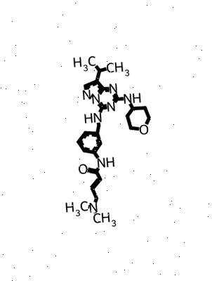 CC(C)c1cnn2c(NCc3cccc(NC(=O)C=CCN(C)C)c3)nc(NC3CCOCC3)nc12